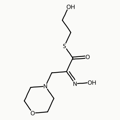 O=C(SCCO)C(CN1CCOCC1)=NO